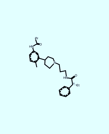 CC[C@@H](C(=O)NCCCN1CCC(c2cc(NC(=O)C(C)C)ccc2C)CC1)c1ccccc1